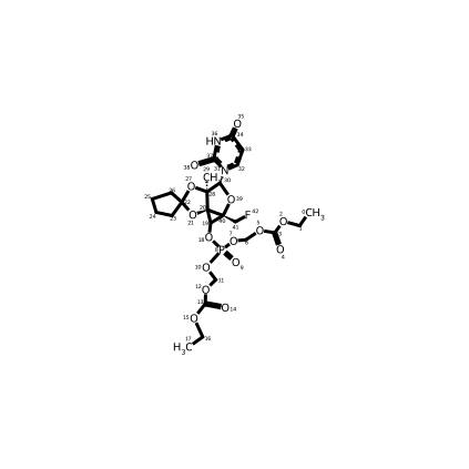 CCOC(=O)OCOP(=O)(OCOC(=O)OCC)OC1[C@]23OC4(CCCC4)O[C@@]2(C)[C@H](n2ccc(=O)[nH]c2=O)O[C@]13CF